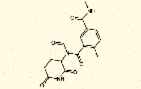 CNC(=O)c1ccc(C)c(C(=O)N(C=O)C2CCC(=O)NC2=O)c1